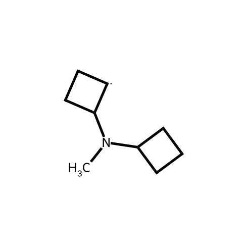 CN(C1[CH]CC1)C1CCC1